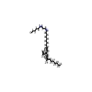 CCCCC/C=C\C/C=C\CCCCCCCCOCC(COC(C)CCCCCCC)N(C)C